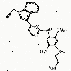 C#CCn1cc(-c2ccnc(Nc3cc(N)c(N(C)CCNC)cc3OC)n2)c2ccccc21